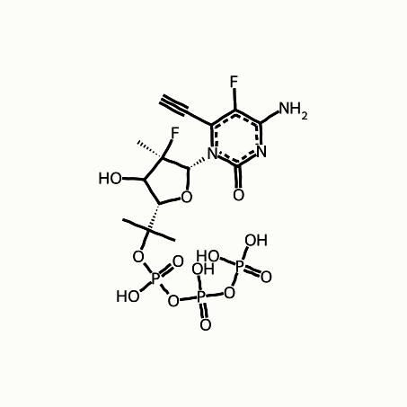 C#Cc1c(F)c(N)nc(=O)n1[C@@H]1O[C@H](C(C)(C)OP(=O)(O)OP(=O)(O)OP(=O)(O)O)C(O)[C@@]1(C)F